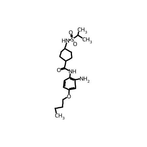 CCCCOc1ccc(NC(=O)C2CCC(NS(=O)(=O)C(C)C)CC2)c(N)c1